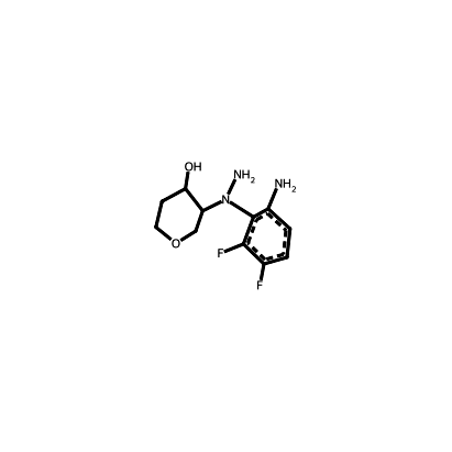 Nc1ccc(F)c(F)c1N(N)C1COCCC1O